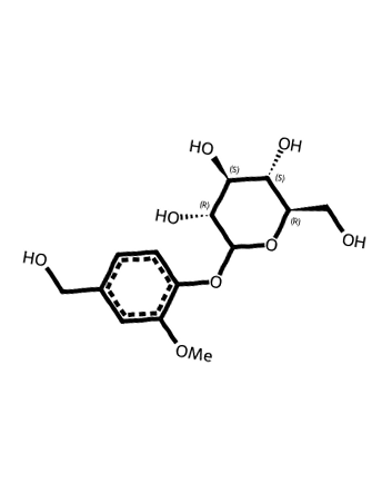 COc1cc(CO)ccc1OC1O[C@H](CO)[C@@H](O)[C@H](O)[C@H]1O